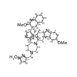 COc1ccc2nc(C(F)(F)F)n(CC(=O)N3CCN(Cc4ccn(C)n4)CC[C@H]3c3ncc(-c4cc5ccccc5nc4OC)[nH]3)c2c1